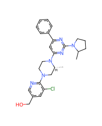 CC1CCCN1c1nc(-c2ccccc2)cc(N2CCN(c3ncc(CO)cc3Cl)C[C@H]2C)n1